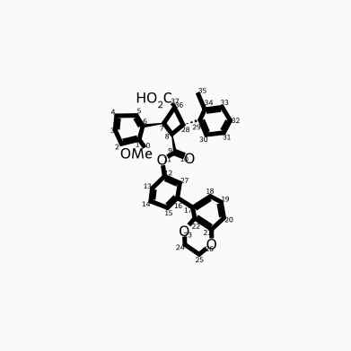 COc1ccccc1[C@@H]1[C@H](C(=O)Oc2cccc(-c3cccc4c3OCCO4)c2)[C@@H](c2ccccc2C)[C@@H]1C(=O)O